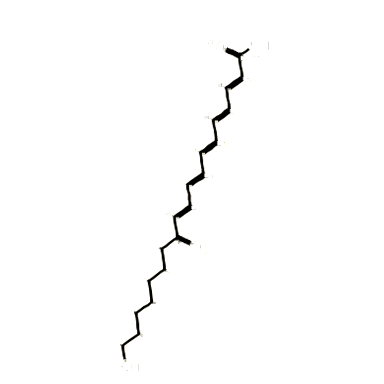 CCCCCCCCC(=O)C=CC=CC=CC=CC=CC(=O)O